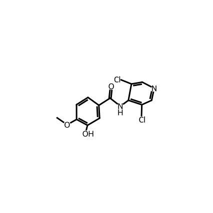 COc1ccc(C(=O)Nc2c(Cl)cncc2Cl)cc1O